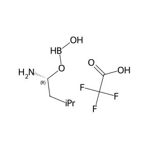 CC(C)C[C@H](N)OBO.O=C(O)C(F)(F)F